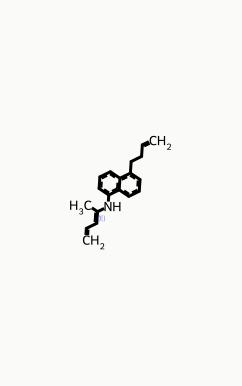 C=C/C=C(\C)Nc1cccc2c(CCC=C)cccc12